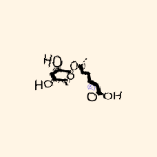 C[C@H](CC/C=C/C(=O)O)O[C@@H]1O[C@@H](C)[C@H](O)C[C@H]1O